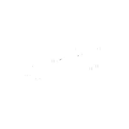 CC[Si](CC)(CC)O[C@H]1CCC[C@]2(C)/C(=C\CCCC(C)(C)O)CC[C@@H]12